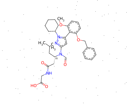 COc1cccc(OCc2ccccc2)c1-c1cc(N(C=O)[C@H](CC(=O)NCC(=O)O)CC(C)C)nn1C1CCCCC1